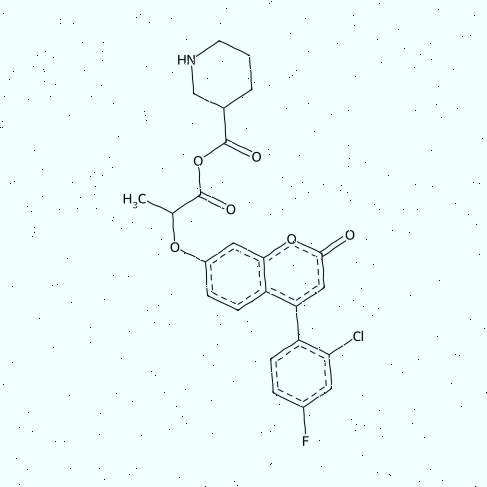 CC(Oc1ccc2c(-c3ccc(F)cc3Cl)cc(=O)oc2c1)C(=O)OC(=O)C1CCCNC1